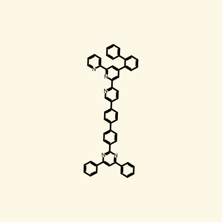 c1ccc(-c2cc(-c3ccccc3)nc(-c3ccc(-c4ccc(-c5ccc(-c6cc(-c7ccccc7-c7ccccc7)cc(-c7ccccn7)n6)nc5)cc4)cc3)n2)cc1